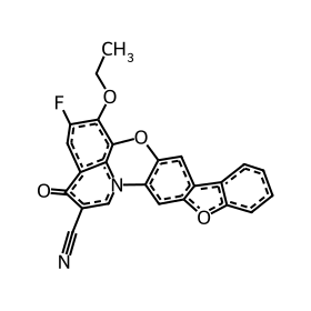 CCOc1c(F)cc2c(=O)c(C#N)cn3c2c1Oc1cc2c(cc1-3)oc1ccccc12